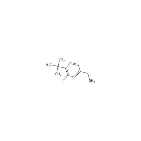 CC(C)(C)c1ccc(CN)cc1F